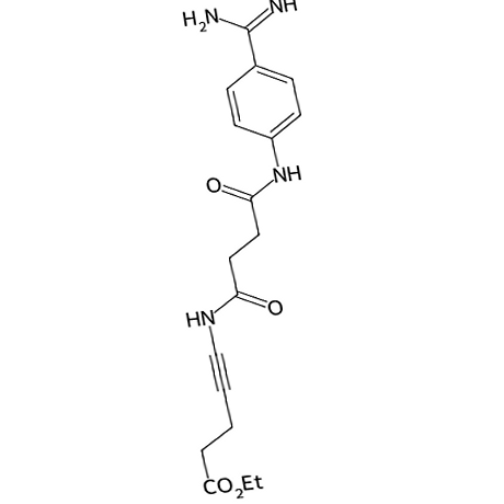 CCOC(=O)CCC#CNC(=O)CCC(=O)Nc1ccc(C(=N)N)cc1